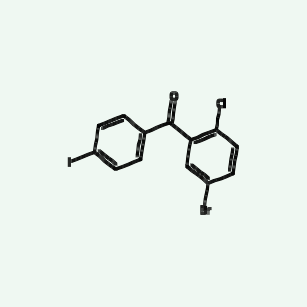 O=C(c1ccc(I)cc1)c1cc(Br)ccc1Cl